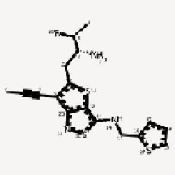 CC#Cc1c(C[C@@H](N)[C@H](C)F)sc2c(NCc3cccs3)snc12